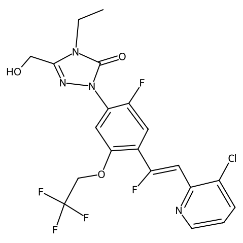 CCn1c(CO)nn(-c2cc(OCC(F)(F)F)c(/C(F)=C/c3ncccc3Cl)cc2F)c1=O